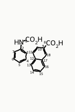 O=C(O)Nc1ccccc1.O=C(O)c1ccc2ccccc2c1